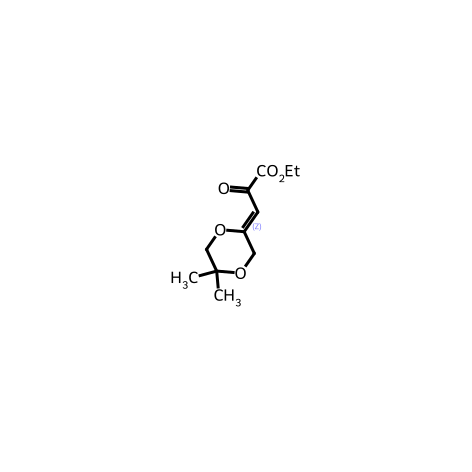 CCOC(=O)C(=O)/C=C1/COC(C)(C)CO1